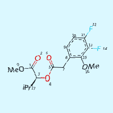 COC(=O)[C@@H](OC(=O)Cc1ccc(F)c(F)c1OC)C(C)C